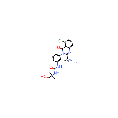 C[C@H](N)c1nc2cccc(Cl)c2c(=O)n1-c1cccc(NC(=O)NC(C)(C)CO)c1